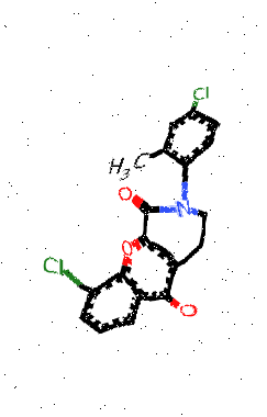 Cc1cc(Cl)ccc1N1CCc2c(oc3c(Cl)cccc3c2=O)C1=O